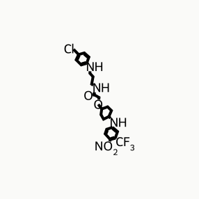 O=C(COC1CCC(Nc2ccc([N+](=O)[O-])c(C(F)(F)F)c2)CC1)NCCCNc1ccc(Cl)cc1